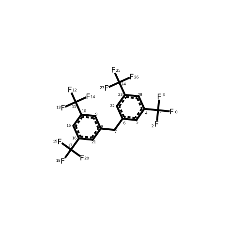 FC(F)(F)c1cc([C]c2cc(C(F)(F)F)cc(C(F)(F)F)c2)cc(C(F)(F)F)c1